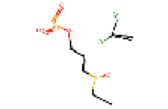 C=C(Cl)Cl.CC[S+]([O-])CCCO[PH](=O)O